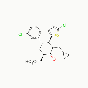 O=C(O)C[C@H]1C[C@H](c2cccc(Cl)c2)[C@@H](c2ccc(Cl)s2)C(CC2CC2)C1=O